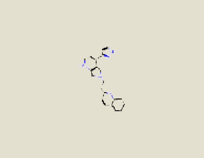 C1=C(c2cc[nH]n2)C2=C(CN(CCc3ccc4ccccc4n3)C2)NC1